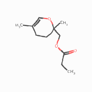 CCC(=O)OCC1(C)CCC(C)=CO1